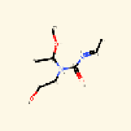 CC=NC(=O)N(CCO)C(C)OC